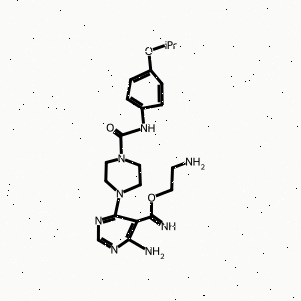 CC(C)Oc1ccc(NC(=O)N2CCN(c3ncnc(N)c3C(=N)OCCN)CC2)cc1